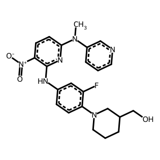 CN(c1cccnc1)c1ccc([N+](=O)[O-])c(Nc2ccc(N3CCCC(CO)C3)c(F)c2)n1